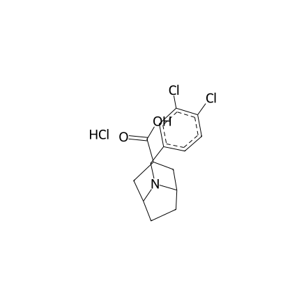 Cl.O=C(O)C1CC2CCC(C1)N2Cc1ccc(Cl)c(Cl)c1